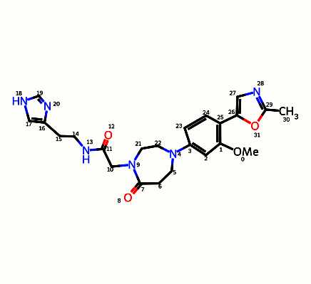 COc1cc(N2CCC(=O)N(CC(=O)NCCc3c[nH]cn3)CC2)ccc1-c1cnc(C)o1